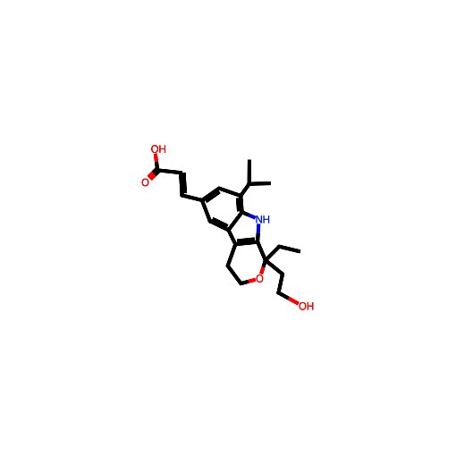 CCC1(CCO)OCCc2c1[nH]c1c(C(C)C)cc(/C=C/C(=O)O)cc21